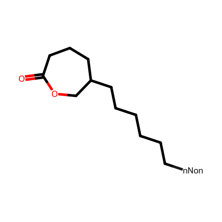 CCCCCCCCCCCCCCCC1CCCC(=O)OC1